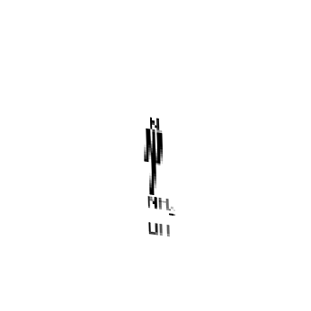 N#CN.[LiH]